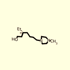 CC[C@@H](CCO)CCCCN1CCN(C)CC1